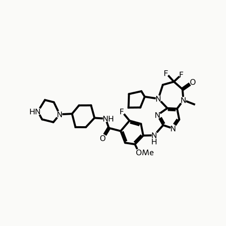 COc1cc(C(=O)NC2CCC(N3CCNCC3)CC2)c(F)cc1Nc1ncc2c(n1)N(C1CCCC1)CC(F)(F)C(=O)N2C